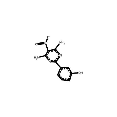 Nc1nc(-c2cccc(O)c2)nc(N)c1[N+](=O)[O-]